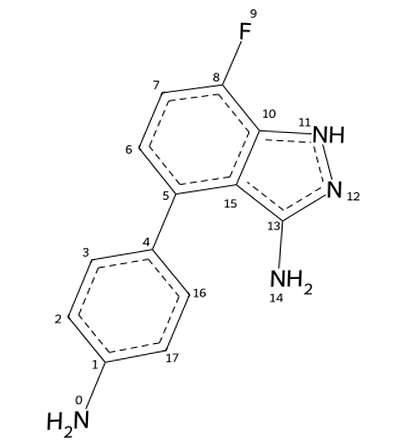 Nc1ccc(-c2ccc(F)c3[nH]nc(N)c23)cc1